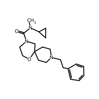 CN(C(=O)N1CCOC2(CCN(CCc3ccccc3)CC2)C1)C1CC1